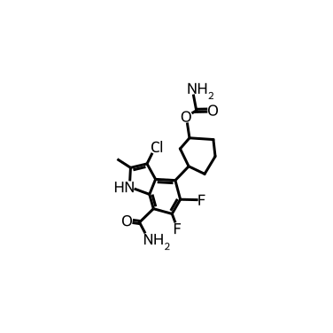 Cc1[nH]c2c(C(N)=O)c(F)c(F)c(C3CCCC(OC(N)=O)C3)c2c1Cl